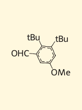 COc1cc(C=O)c(C(C)(C)C)c(C(C)(C)C)c1